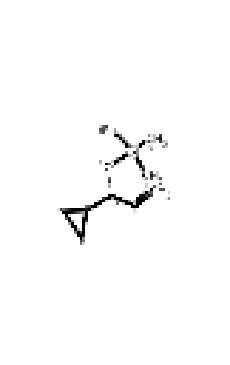 C=C[C@@H](O[Si](C)(C)C(C)(C)C)C1CC1